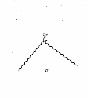 CCCCCCCCCCCCCCCCCC[N+](C)(CCO)CCCCCCCCCCCCCCCCCC.[Cl-]